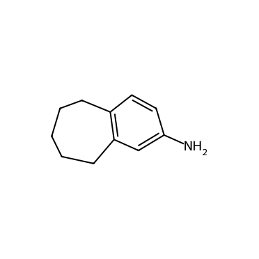 Nc1ccc2c(c1)CCCCC2